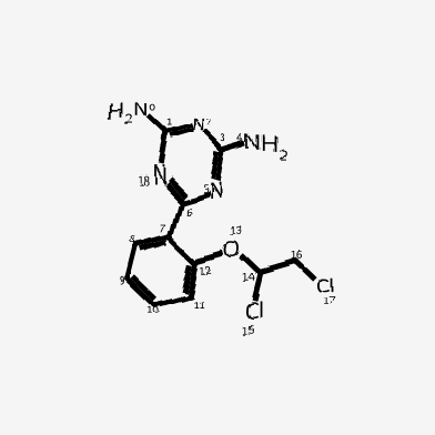 Nc1nc(N)nc(-c2ccccc2OC(Cl)CCl)n1